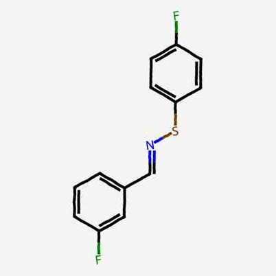 Fc1ccc(S/N=C/c2cccc(F)c2)cc1